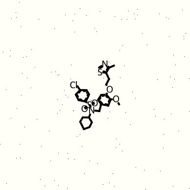 COc1cc(CN(C2CCCCC2)S(=O)(=O)c2ccc(Cl)cc2)ccc1OCCc1scnc1C